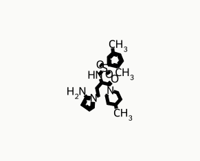 Cc1ccc(C)c(S(=O)(=O)NC(CCn2cccc2N)C(=O)N2CCC(C)CC2)c1